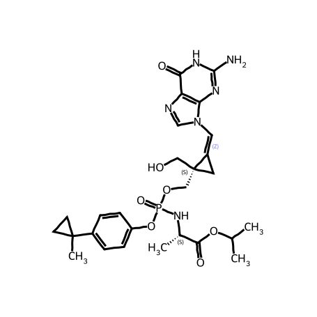 CC(C)OC(=O)[C@H](C)NP(=O)(OC[C@@]1(CO)C/C1=C/n1cnc2c(=O)[nH]c(N)nc21)Oc1ccc(C2(C)CC2)cc1